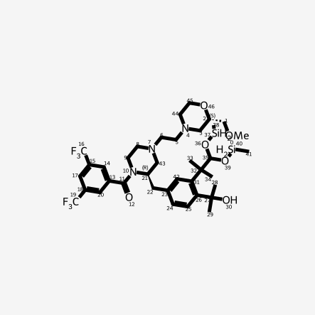 COC[C@@H]1CN(CCN2CCN(C(=O)c3cc(C(F)(F)F)cc(C(F)(F)F)c3)[C@H](Cc3ccc(C(C)(C)O)c(C(C)(C)C(O[SiH2]C)O[SiH2]C)c3)C2)CCO1